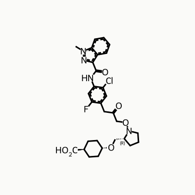 Cn1nc(C(=O)Nc2cc(F)c(CC(=O)CON3CCC[C@@H]3CO[C@H]3CC[C@H](C(=O)O)CC3)cc2Cl)c2ccccc21